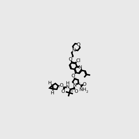 CC(C)=Cc1cc(O[C@@H]2C[C@@H](C(N)=O)N(C(=O)[C@@H](NC(=O)O[C@@H]3C[C@@H]4C[C@@H]4C3)C(C)(C)C)C2)c2ccc(OCCN3CCOCC3)c(Cl)c2n1